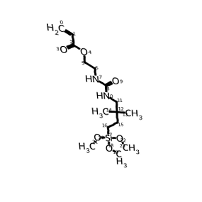 C=CC(=O)OCCNC(=O)NCC(C)(C)CC[Si](OC)(OC)OC